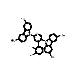 CC(C)(C)c1ccc2c(c1)c1cc(C(C)(C)C)ccc1n2-c1cc(-c2cccc(C#N)c2C#N)c(-n2c3ccc(C(C)(C)C)cc3c3cc(C(C)(C)C)ccc32)cn1